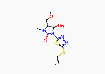 CCCSc1nnc(N2C(=O)N(C)C(COC)C2O)s1